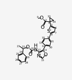 COC(=O)C1(c2ccc(-c3ccc(-c4ocnc4NC(=O)OC(C)c4ccccc4)cc3)s2)CC1